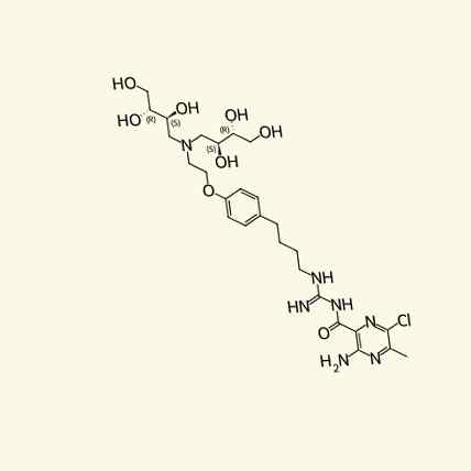 Cc1nc(N)c(C(=O)NC(=N)NCCCCc2ccc(OCCN(C[C@H](O)[C@H](O)CO)C[C@H](O)[C@H](O)CO)cc2)nc1Cl